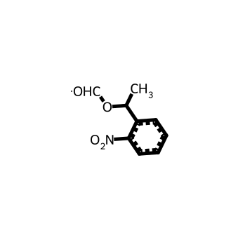 CC(O[C]=O)c1ccccc1[N+](=O)[O-]